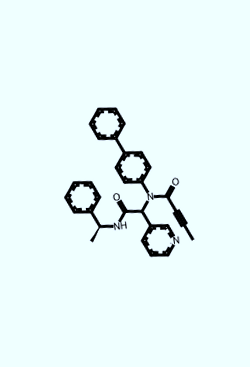 CC#CC(=O)N(c1ccc(-c2ccccc2)cc1)C(C(=O)N[C@@H](C)c1ccccc1)c1cccnc1